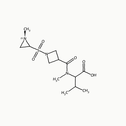 CC(C)C(C(=O)O)N(C)C(=O)C1CN(S(=O)(=O)C2C[N@@]2C)C1